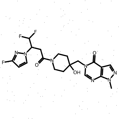 Cn1ncc2c(=O)n(CC3(O)CCN(C(=O)CC(C(F)F)n4ccc(F)n4)CC3)cnc21